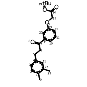 Cc1ccc(CCC(=O)c2cccc(OCC(=O)OC(C)(C)C)c2)cc1C